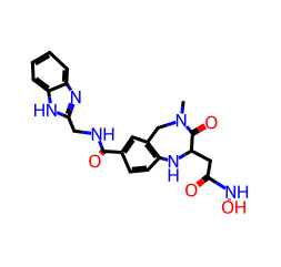 CN1Cc2cc(C(=O)NCc3nc4ccccc4[nH]3)ccc2NC(CC(=O)NO)C1=O